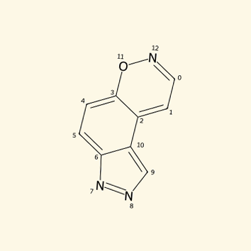 c1cc2c(ccc3nncc32)on1